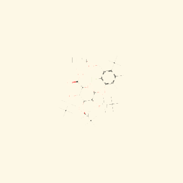 COC(=O)[C@H]1O[C@@H](Oc2c(C)c(C)c(C(C)(C)C)c(CO[SiH3])c2F)[C@H](O[Si](C)(C)C(C)(C)C)[C@@H](O[Si](C)(C)C(C)(C)C)[C@H]1O[Si](C)(C)C(C)(C)C